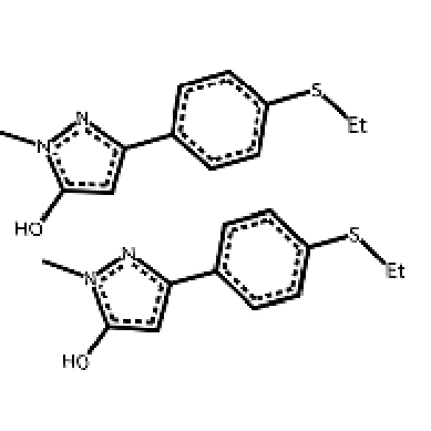 CCSc1ccc(-c2cc(O)n(C)n2)cc1.CCSc1ccc(-c2cc(O)n(C)n2)cc1